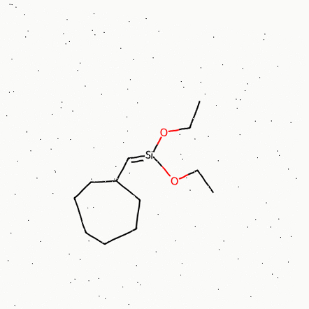 CCO[Si](=CC1CCCCCC1)OCC